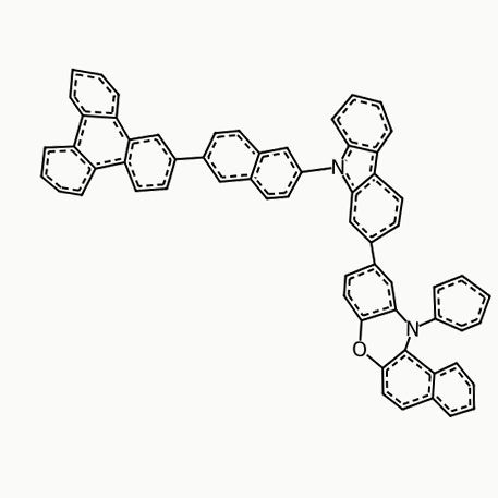 c1ccc(N2c3cc(-c4ccc5c6ccccc6n(-c6ccc7cc(-c8ccc9c%10ccccc%10c%10ccccc%10c9c8)ccc7c6)c5c4)ccc3Oc3ccc4ccccc4c32)cc1